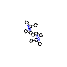 C1=CCCC(c2cc(C3=CCCC=C3)nc(-n3c4ccccc4c4cc5c(cc43)-c3ccc4c6ccccc6n(-c6cc(-c7ccccc7)cc(-c7ccccc7)n6)c4c3CC5)c2)=C1